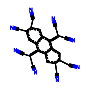 N#CC(C#N)=c1c2cc(C#N)c(C#N)cc2c(=C(C#N)C#N)c2cc(C#N)c(C#N)cc12